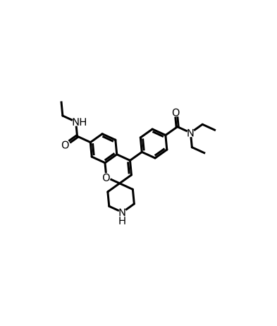 CCNC(=O)c1ccc2c(c1)OC1(C=C2c2ccc(C(=O)N(CC)CC)cc2)CCNCC1